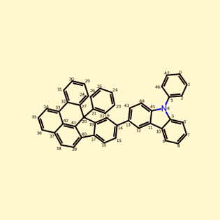 c1ccc(-n2c3ccccc3c3cc(-c4ccc5c(c4)C4(c6ccccc6)c6ccccc6-c6cccc7ccc-5c4c67)ccc32)cc1